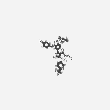 NC(=O)c1c(-c2ccc(NS(=O)(=O)CC(F)(F)F)c(OCc3ccc(F)cc3)c2)n[nH]c1Nc1ccc(C(F)(F)F)nc1